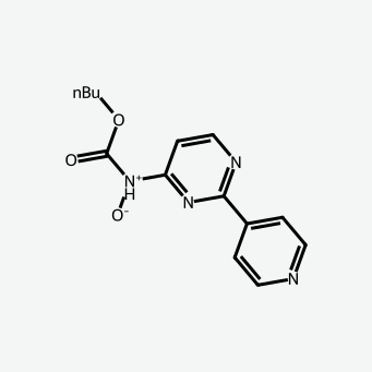 CCCCOC(=O)[NH+]([O-])c1ccnc(-c2ccncc2)n1